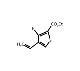 C=Cc1csc(C(=O)OCC)c1F